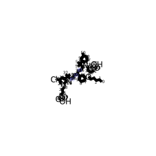 CCCCCOc1cccc(C(=C\C=C2\N=C3C(=CC(Cl)=CN3CCCCS(=O)(=O)O)C2(C)C)/C=C/C2=[N+](CCCCS(=O)(=O)O)c3ccc(C)cc3C2(C)C)c1